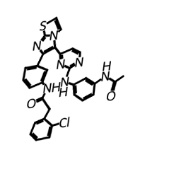 CC(=O)Nc1cccc(Nc2nccc(-c3c(-c4cccc(NC(=O)Cc5ccccc5Cl)c4)nc4sccn34)n2)c1